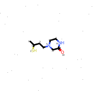 CC(S)CCN1CCNC(=O)C1